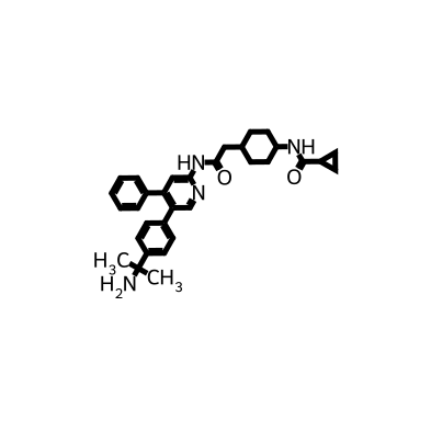 CC(C)(N)c1ccc(-c2cnc(NC(=O)CC3CCC(NC(=O)C4CC4)CC3)cc2-c2ccccc2)cc1